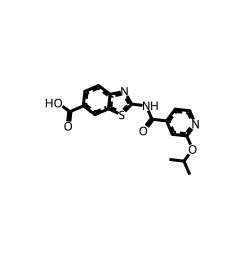 CC(C)Oc1cc(C(=O)Nc2nc3ccc(C(=O)O)cc3s2)ccn1